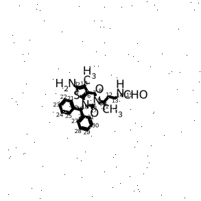 Cc1c(N)sc2c1c(=O)n([C@H](C)CCNC=O)c(=O)n2C(c1ccccc1)c1ccccc1